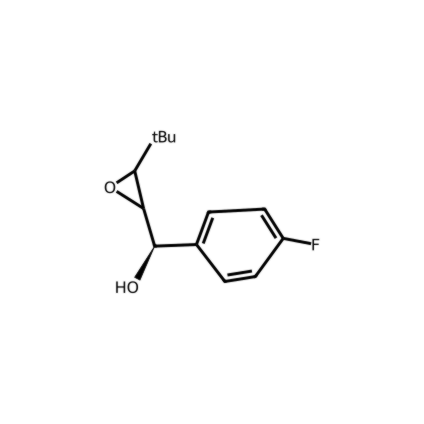 CC(C)(C)C1OC1[C@H](O)c1ccc(F)cc1